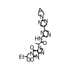 CCC(=O)Cn1c(=O)c2c(ncn2C(C)C(=O)Nc2cncc(-c3cnc(N4CC5CC5C4)nc3)n2)n(C)c1=O